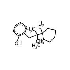 CC1CCCCC1(C)C(C)(C)Cc1ccccc1O